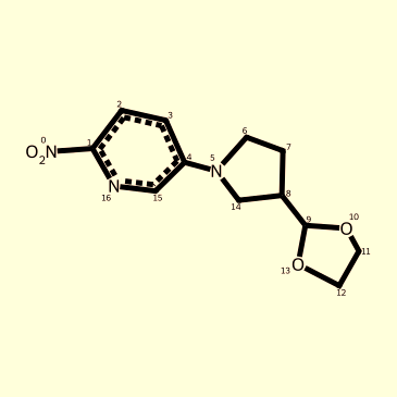 O=[N+]([O-])c1ccc(N2CCC(C3OCCO3)C2)cn1